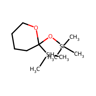 C[SiH](C)C1(O[Si](C)(C)C)CCCCO1